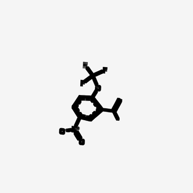 C=C(C)c1cc([N+](=O)[O-])ccc1OC(F)(F)F